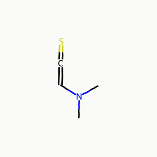 CN(C)C=C=S